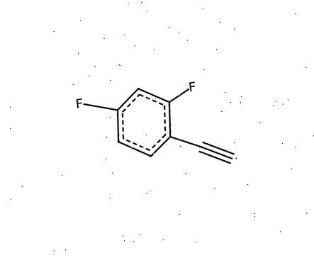 [C]#Cc1ccc(F)cc1F